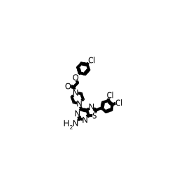 Nc1nc(N2CCN(C(=O)COc3ccc(Cl)cc3)CC2)c2nc(-c3ccc(Cl)c(Cl)c3)sc2n1